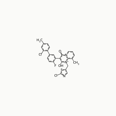 Cc1ccc(-c2ccc(F)c(-c3c(O)[n+](Cc4cnc(Cl)s4)c4c(C)cccn4c3=O)c2)c(Cl)c1